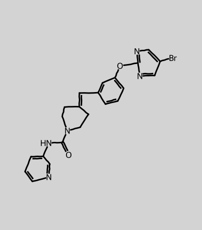 O=C(Nc1cccnc1)N1CCC(=Cc2cccc(Oc3ncc(Br)cn3)c2)CC1